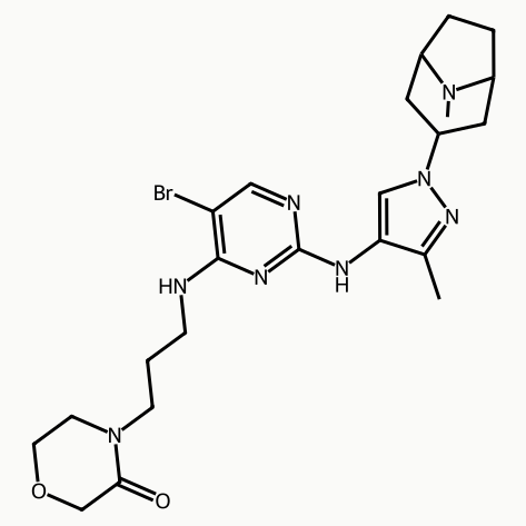 Cc1nn(C2CC3CCC(C2)N3C)cc1Nc1ncc(Br)c(NCCCN2CCOCC2=O)n1